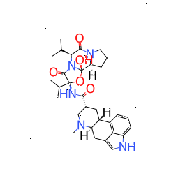 CC(C)[C@H]1C(=O)N2CCC[C@H]2[C@]2(O)O[C@](NC(=O)[C@@H]3C[C@@H]4c5cccc6[nH]cc(c56)C[C@H]4N(C)C3)(C(C)C)C(=O)N12